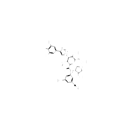 CO[C@@H]1[C@@H](n2cc(-c3cc(F)c(F)c(F)c3)nn2)[C@@H](O)[C@@H](CO)O[C@H]1C(=O)N(c1cc(Br)cc(C#N)c1)[C@H]1COC[C@@H]1O